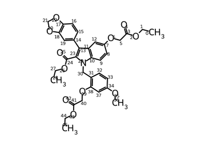 CCOC(=O)COc1ccc2c(c1)c(-c1ccc3c(c1)OCO3)c(C(=O)OCC)n2Cc1ccc(OC)cc1OCC(=O)OCC